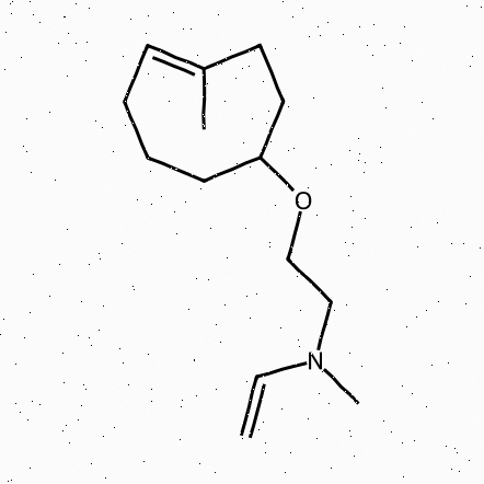 C=CN(C)CCOC1CCC/C=C(\C)CC1